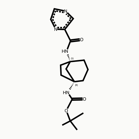 CC(C)(C)OC(=O)N[C@]12CCC[C@](NC(=O)c3cnccn3)(CC1)C2